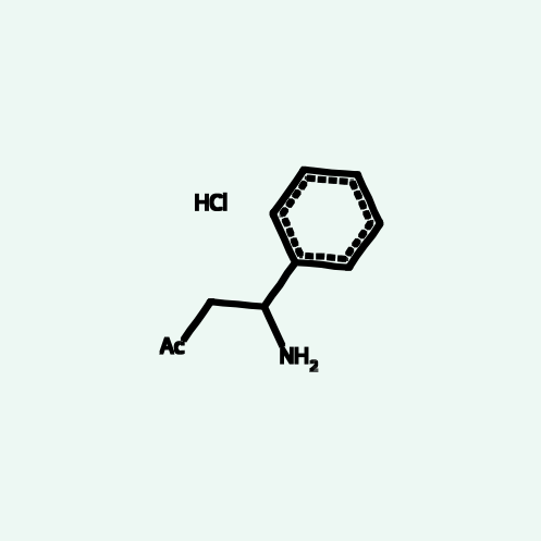 CC(=O)CC(N)c1ccccc1.Cl